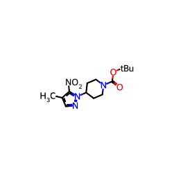 Cc1cnn(C2CCN(C(=O)OC(C)(C)C)CC2)c1[N+](=O)[O-]